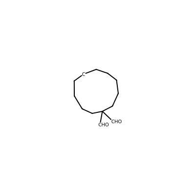 O=CC1(C=O)CCCCCCCCCC1